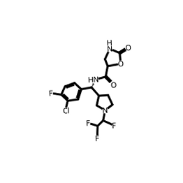 O=C1NCC(C(=O)N[C@@H](c2ccc(F)c(Cl)c2)C2CCN(C(F)C(F)F)C2)O1